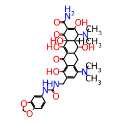 CN(C)c1cc(CNC(=O)Nc2ccc3c(c2)OCO3)c(O)c2c1CC1C(=C(O)[C@]3(O)C(=O)C(C(N)=O)=C(O)[C@@H](N(C)C)[C@@H]3[C@H]1O)C2=O